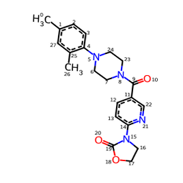 Cc1ccc(N2CCN(C(=O)c3ccc(N4CCOC4=O)nc3)CC2)c(C)c1